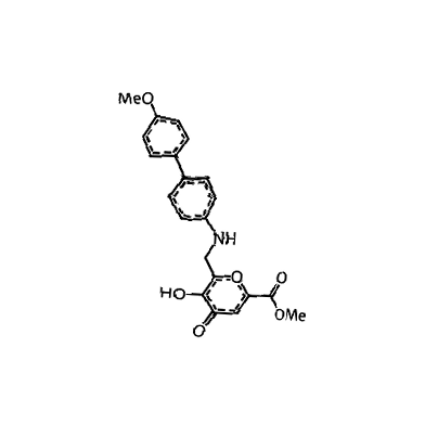 COC(=O)c1cc(=O)c(O)c(CNc2ccc(-c3ccc(OC)cc3)cc2)o1